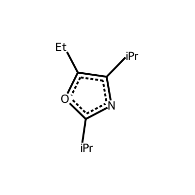 CCc1oc(C(C)C)nc1C(C)C